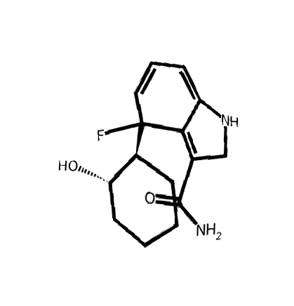 NC(=O)C1=C2C(=CC=CC2(F)[C@H]2CCCC[C@@H]2O)NC1